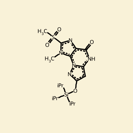 CC(C)[Si](Oc1cc2[nH]c(=O)c3nc(S(C)(=O)=O)n(C)c3n2n1)(C(C)C)C(C)C